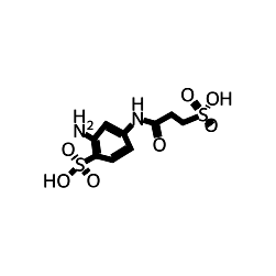 Nc1cc(NC(=O)CCS(=O)(=O)O)ccc1S(=O)(=O)O